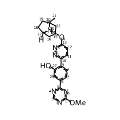 COc1ncnc(-c2ccc(-c3ccc(O[C@H]4C[C@@H]5CC[C@](C)(C4)N5C)nn3)c(O)c2)n1